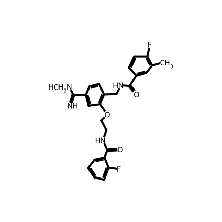 Cc1cc(C(=O)NCc2ccc(C(=N)N)cc2OCCNC(=O)c2ccccc2F)ccc1F.Cl